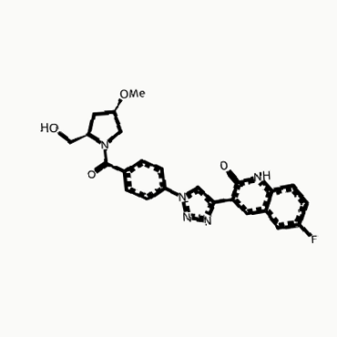 CO[C@@H]1C[C@H](CO)N(C(=O)c2ccc(-n3cc(-c4cc5cc(F)ccc5[nH]c4=O)nn3)cc2)C1